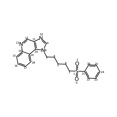 O=S(=O)(CCCCCn1cnc2cnc3ccccc3c21)c1ccccc1